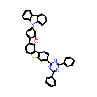 c1ccc(-c2nc(-c3ccccc3)nc(-c3ccc4c(c3)sc3ccc5c6ccc(-n7c8ccccc8c8ccccc87)cc6oc5c34)n2)cc1